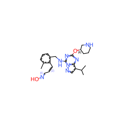 Cc1cccc(CNc2nc(O[C@@H]3CCCNC3)nc3c(C(C)C)cnn23)c1/C=C\C=N\O